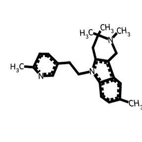 Cc1ccc2c(c1)c1c(n2CCc2ccc(C)nc2)CC(C)(C)N(C)C1